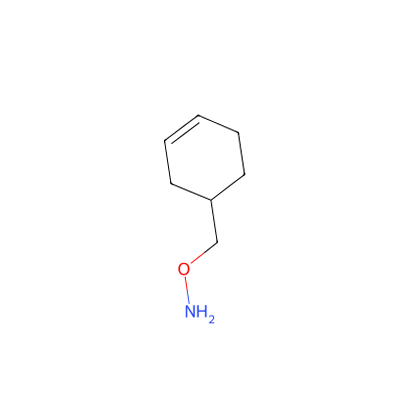 NOCC1CC=CCC1